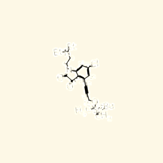 CCN(CC)CCN1C(=O)C(=O)c2c(C#CCO[Si](C)(C)C(C)(C)C)cc(Cl)cc21